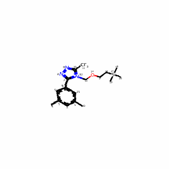 Cc1cc(C)cc(-c2nnc(C(F)(F)F)n2COCC[Si](C)(C)C)c1